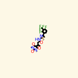 Cn1c(=O)c2c(CC(=O)Nc3nc(-c4ccc(F)c(C(F)(F)F)c4F)cs3)coc2n(C)c1=O